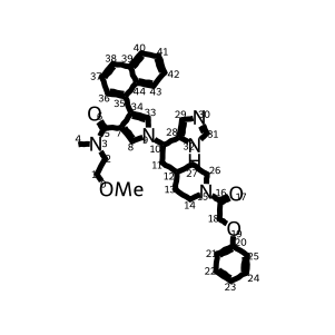 COCCN(C)C(=O)c1cn(C(CC2CCN(C(=O)COc3ccccc3)CC2)c2cnc[nH]2)cc1-c1cccc2ccccc12